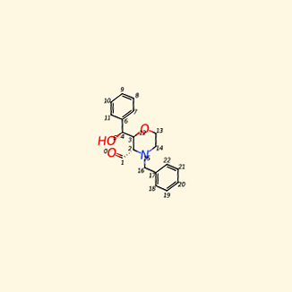 O=C[C@@H]1[C@@H]([C@@H](O)c2ccccc2)OCCN1Cc1ccccc1